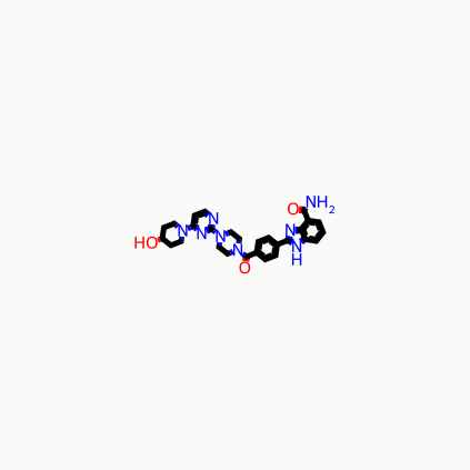 NC(=O)c1cccc2[nH]c(-c3ccc(C(=O)N4CCN(c5nccc(N6CCC(O)CC6)n5)CC4)cc3)nc12